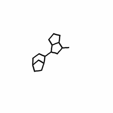 CC1CC(C2CCC3CCC2C3)C2CCCC12